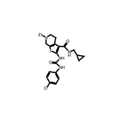 CCN1CCc2c(sc(NC(=O)Nc3ccc(Cl)cc3)c2C(=O)NCC2CC2)C1